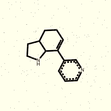 C1=C(c2cccnc2)C2NCCC2CC1